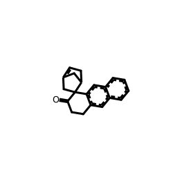 O=C1CCc2cc3ccccc3cc2C12CC1=CCC2C1